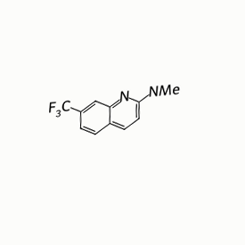 CNc1ccc2ccc(C(F)(F)F)cc2n1